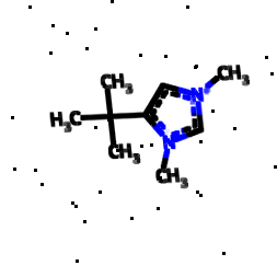 Cn1c[n+](C)cc1C(C)(C)C